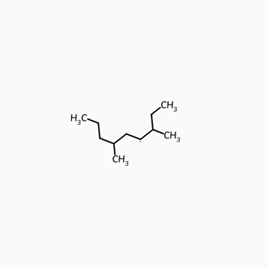 CCCC(C)C[CH]C(C)CC